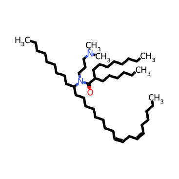 CCCCC/C=C\C/C=C\CCCCCCCCC(CCCCCCCCC)N(CCCN(C)C)C(=O)C(CCCCCC)CCCCCCCC